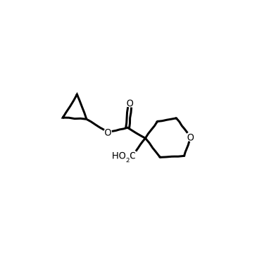 O=C(O)C1(C(=O)OC2CC2)CCOCC1